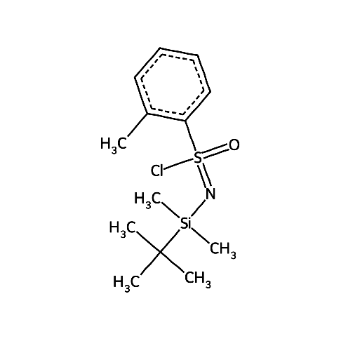 Cc1ccccc1S(=O)(Cl)=N[Si](C)(C)C(C)(C)C